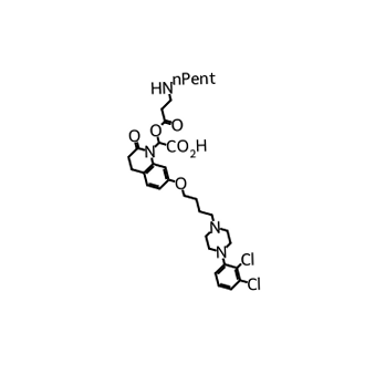 CCCCCNCCC(=O)OC(C(=O)O)N1C(=O)CCc2ccc(OCCCCN3CCN(c4cccc(Cl)c4Cl)CC3)cc21